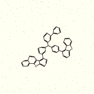 c1ccc(-c2cccc(N(c3ccc(-c4cccc5sc6ccccc6c45)cc3)c3cccc(-c4cccc5oc6c7ccccc7ccc6c45)c3)c2)cc1